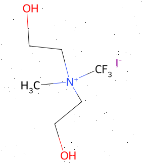 C[N+](CCO)(CCO)C(F)(F)F.[I-]